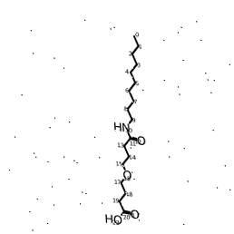 CCCCCCCCCCNC(=O)CCCOCCCC(=O)O